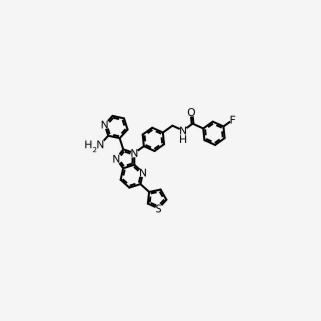 Nc1ncccc1-c1nc2ccc(-c3ccsc3)nc2n1-c1ccc(CNC(=O)c2cccc(F)c2)cc1